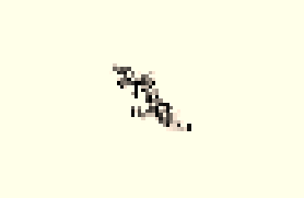 CCCC(NC(=O)OC(C)(C)C)C(=O)Nc1cn(C(C)(C)CNCC(C)(C)C)cn1